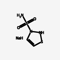 NS(=O)(=O)N1C=CSN1.[NaH]